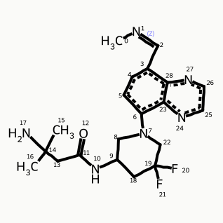 C/N=C\c1ccc(N2CC(NC(=O)CC(C)(C)N)CC(F)(F)C2)c2nccnc12